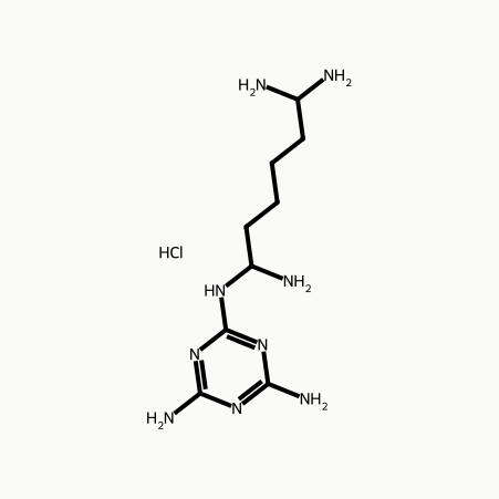 Cl.Nc1nc(N)nc(NC(N)CCCCC(N)N)n1